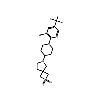 O=S1(=O)CC2(CCN(C3CCN(c4ncc(C(F)(F)F)cc4Cl)CC3)C2)C1